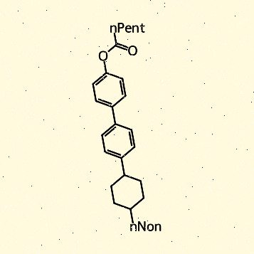 CCCCCCCCCC1CCC(c2ccc(-c3ccc(OC(=O)CCCCC)cc3)cc2)CC1